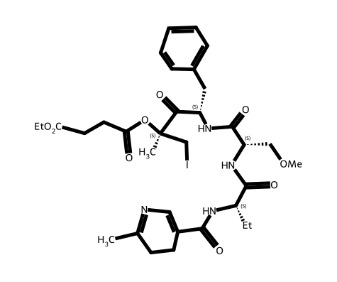 CCOC(=O)CCC(=O)O[C@](C)(CI)C(=O)[C@H](Cc1ccccc1)NC(=O)[C@H](COC)NC(=O)[C@H](CC)NC(=O)C1=CN=C(C)CC1